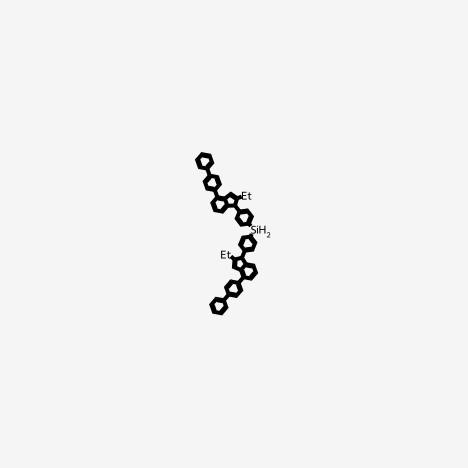 CCC1=Cc2c(-c3ccc(-c4ccccc4)cc3)cccc2C1c1ccc([SiH2]c2ccc(C3C(CC)=Cc4c(-c5ccc(-c6ccccc6)cc5)cccc43)cc2)cc1